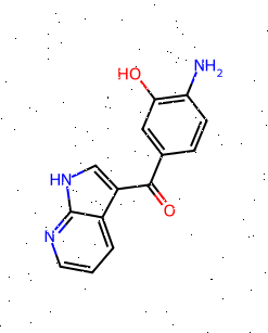 Nc1ccc(C(=O)c2c[nH]c3ncccc23)cc1O